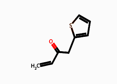 C=CC(=O)Cc1cccs1